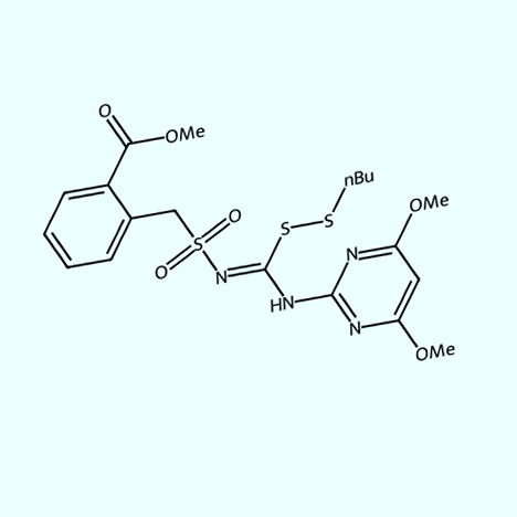 CCCCSSC(=NS(=O)(=O)Cc1ccccc1C(=O)OC)Nc1nc(OC)cc(OC)n1